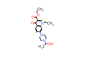 CCOC(=O)c1c2n(c3cc(N4CCN(C(C)O)CC4)c(F)cc3c1=O)C(C)S2